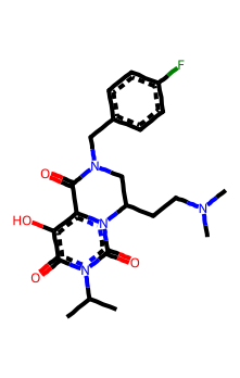 CC(C)n1c(=O)c(O)c2n(c1=O)C(CCN(C)C)CN(Cc1ccc(F)cc1)C2=O